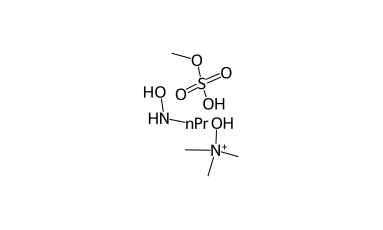 CCCNO.COS(=O)(=O)O.C[N+](C)(C)O